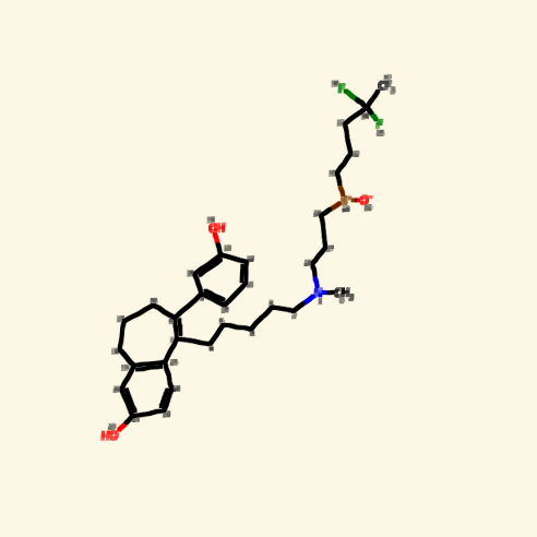 CN(CCCCCC1=C(c2cccc(O)c2)CCCc2cc(O)ccc21)CCC[S+]([O-])CCCC(F)(F)C(F)(F)F